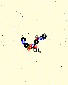 Cc1oc(-c2ccc(C(=O)NCc3cccnc3)cc2)nc1CS(=O)(=O)c1ccc(CN2CCCCC2)cc1